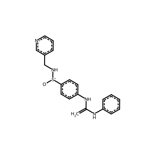 C=C(Nc1ccccc1)Nc1ccc([S+]([O-])NCc2cccnc2)cc1